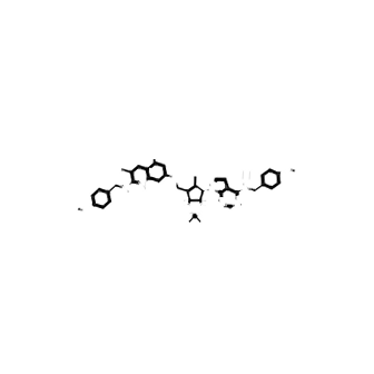 COc1ccc(CNc2nc3cc(OCC4=C(C)[C@@H](n5ccc6c(NCc7ccc(OC)cc7)ncnc65)[C@@H]5OC(C)(C)O[C@H]45)cc(F)c3cc2Cl)cc1